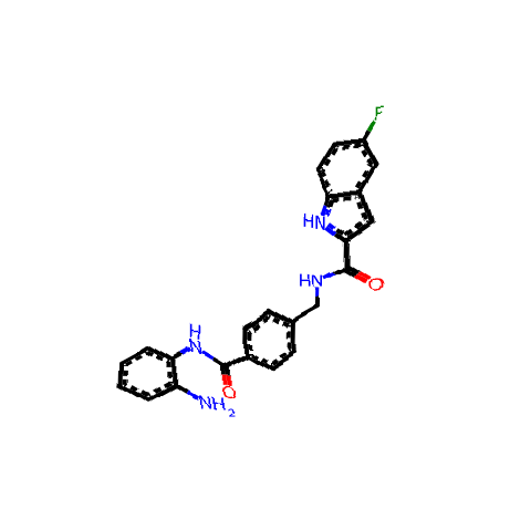 Nc1ccccc1NC(=O)c1ccc(CNC(=O)c2cc3cc(F)ccc3[nH]2)cc1